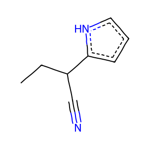 CCC(C#N)c1ccc[nH]1